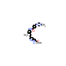 COC(=O)c1cc2cc(C=Cc3cc(NC(=O)c4ccc(CN5CCN(C)CC5)cc4)ccc3C)cnc2[nH]1